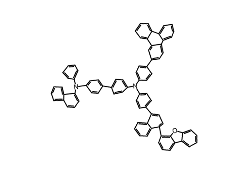 c1ccc(N(c2ccc(-c3ccc(N(c4ccc(-c5ccc6c7ccccc7c7ccccc7c6c5)cc4)c4ccc(-c5ccc(-c6cccc7c6oc6ccccc67)c6ccccc56)cc4)cc3)cc2)c2cccc3ccccc23)cc1